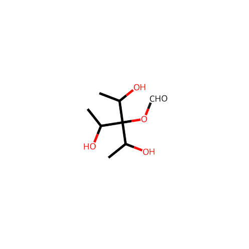 CC(O)C(OC=O)(C(C)O)C(C)O